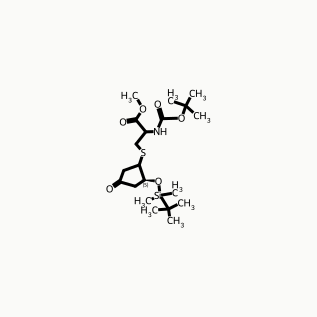 COC(=O)C(CSC1CC(=O)C[C@@H]1O[Si](C)(C)C(C)(C)C)NC(=O)OC(C)(C)C